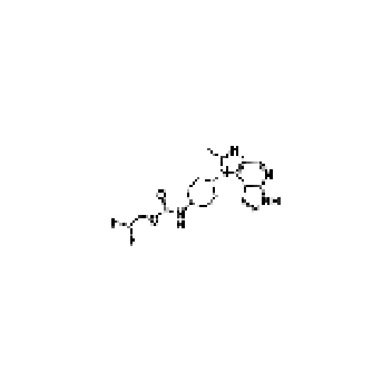 Cc1nc2cnc3[nH]ccc3c2n1[C@H]1CC[C@H](NC(=O)OCC(F)F)CC1